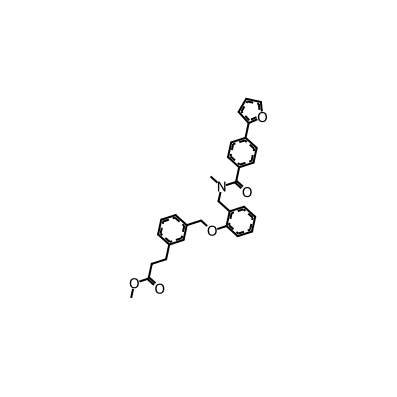 COC(=O)CCc1cccc(COc2ccccc2CN(C)C(=O)c2ccc(-c3ccco3)cc2)c1